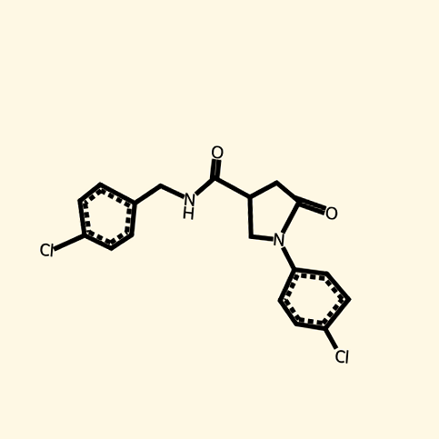 O=C(NCc1ccc(Cl)cc1)C1CC(=O)N(c2ccc(Cl)cc2)C1